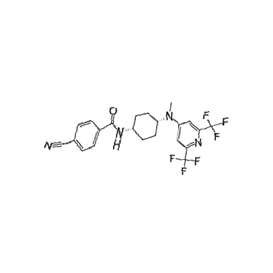 CN(c1cc(C(F)(F)F)nc(C(F)(F)F)c1)[C@H]1CC[C@@H](NC(=O)c2ccc(C#N)cc2)CC1